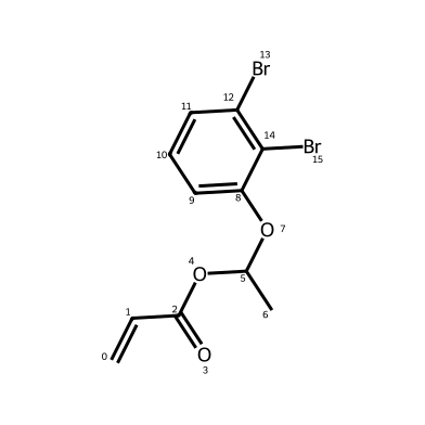 C=CC(=O)OC(C)Oc1cccc(Br)c1Br